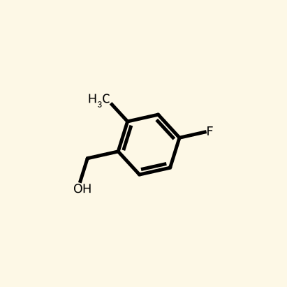 Cc1cc(F)ccc1CO